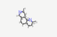 Cc1cc2c(ccc3ccc(C)nc32)cn1